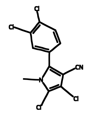 Cn1c(Cl)c(Cl)c(C#N)c1-c1ccc(Cl)c(Cl)c1